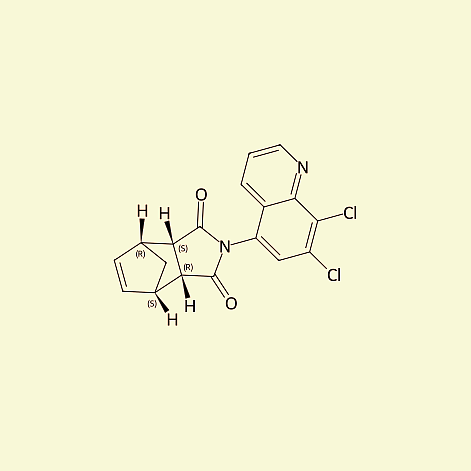 O=C1[C@@H]2[C@H](C(=O)N1c1cc(Cl)c(Cl)c3ncccc13)[C@@H]1C=C[C@H]2C1